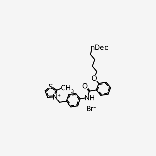 CCCCCCCCCCCCCCOc1ccccc1C(=O)Nc1ccc(C[n+]2ccsc2C)cc1.[Br-]